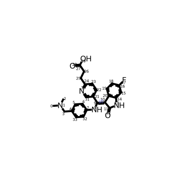 CN(C)Cc1ccc(N/C(=C2\C(=O)Nc3cc(F)ccc32)c2ccc(CCC(=O)O)nc2)cc1